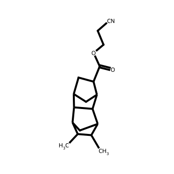 CC1C(C)C2CC1C1C3CC(C(=O)OCCC#N)C(C3)C21